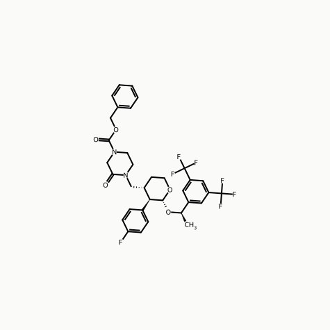 C[C@@H](O[C@H]1OCC[C@@H](CN2CCN(C(=O)OCc3ccccc3)CC2=O)[C@@H]1c1ccc(F)cc1)c1cc(C(F)(F)F)cc(C(F)(F)F)c1